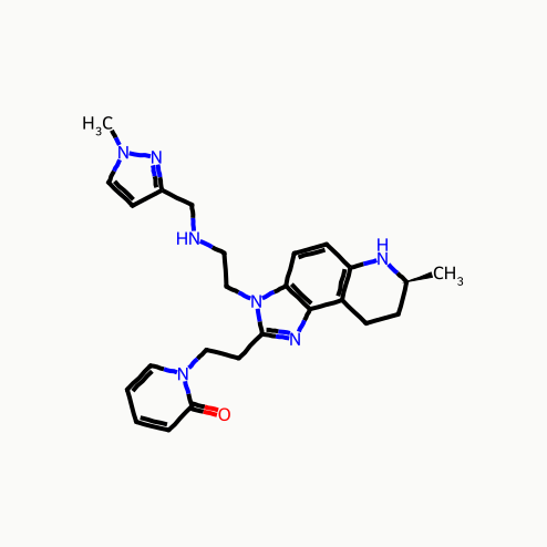 C[C@H]1CCc2c(ccc3c2nc(CCn2ccccc2=O)n3CCNCc2ccn(C)n2)N1